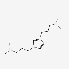 CN(C)CCCn1cc[n+](CCCN(C)C)c1